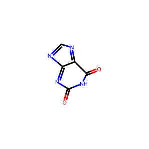 O=C1N=C2N=CN=C2C(=O)N1